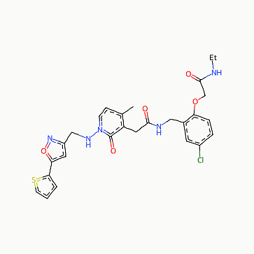 CCNC(=O)COc1ccc(Cl)cc1CNC(=O)Cc1c(C)ccn(NCc2cc(-c3cccs3)on2)c1=O